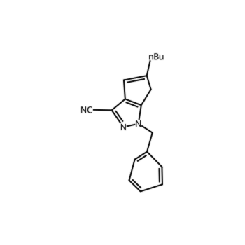 CCCCC1=Cc2c(C#N)nn(Cc3ccccc3)c2C1